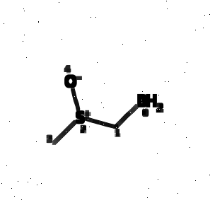 BC[S+](C)[O-]